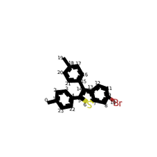 Cc1ccc(-c2sc3cc(Br)ccc3c2-c2ccc(C)cc2)cc1